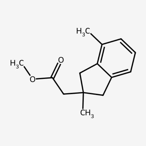 COC(=O)CC1(C)Cc2cccc(C)c2C1